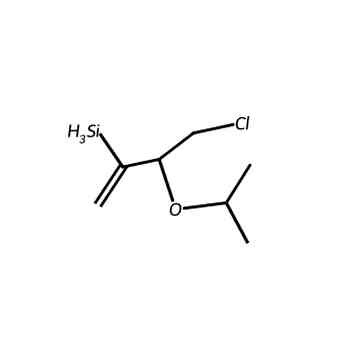 C=C([SiH3])C(CCl)OC(C)C